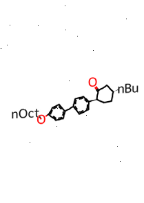 CCCCCCCCOc1ccc(-c2ccc([C@@H]3CC[C@@H](CCCC)CC3=O)cc2)cc1